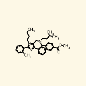 CCCCn1c(-c2ccccc2C)nc(-c2ccccc2)c1CN(CCC(C)C)Cc1ccc(C(=O)OC)cc1